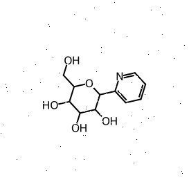 OCC1OC(c2ccccn2)C(O)C(O)C1O